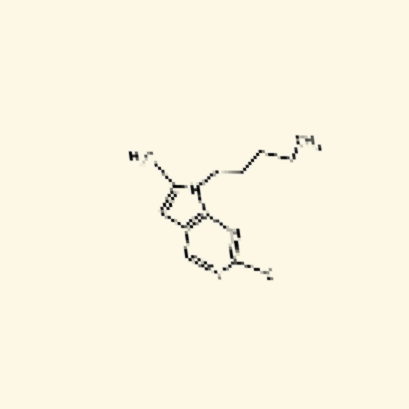 CCCCCn1c(C)cc2cnc(Cl)nc21